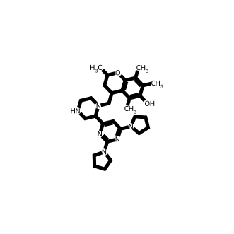 Cc1c(C)c2c(c(C)c1O)C(CN1CCNCC1c1cc(N3CCCC3)nc(N3CCCC3)n1)CC(C)O2